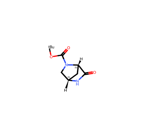 CC(C)(C)OC(=O)N1C[C@@H]2C[C@H]1C(=O)N2